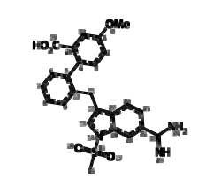 COc1ccc(-c2ccccc2Cc2cn(S(C)(=O)=O)c3cc(C(=N)N)ccc23)c(C(=O)O)c1